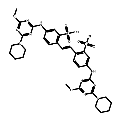 COc1nc(Nc2ccc(/C=C/c3ccc(Nc4nc(OC)nc(N5CCCCC5)n4)cc3S(=O)(=O)O)c(S(=O)(=O)O)c2)nc(N2CCCCC2)n1